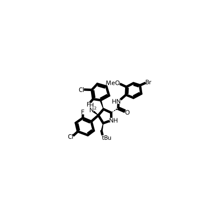 COc1cc(Br)ccc1NC(=O)[C@@H]1N[C@@H](CC(C)(C)C)[C@](N)(c2ccc(Cl)cc2F)[C@H]1c1cccc(Cl)c1F